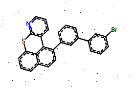 Brc1cccc(-c2cccc(-c3ccc4cccc5c4c3-c3cccnc3S5)c2)c1